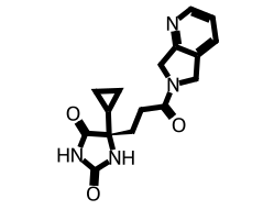 O=C1NC(=O)[C@](CCC(=O)N2Cc3cccnc3C2)(C2CC2)N1